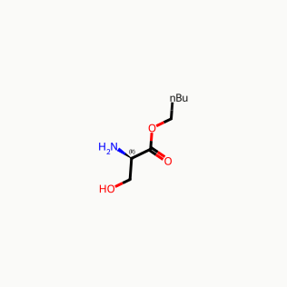 CCCCCOC(=O)[C@H](N)CO